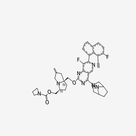 C#Cc1c(F)ccc2cccc(-c3ncc4c(N5CC6CCC(C5)N6)nc(OC[C@@]56CC[C@@H](COC(=O)N7CCC7)N5CC(=C)C6)nc4c3F)c12